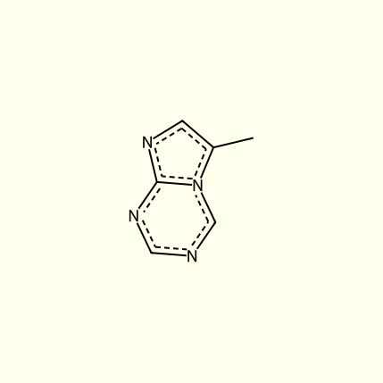 Cc1cnc2ncncn12